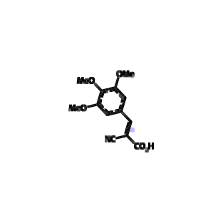 COc1cc(/C=C(\C#N)C(=O)O)cc(OC)c1OC